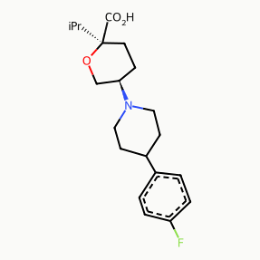 CC(C)[C@]1(C(=O)O)CC[C@@H](N2CCC(c3ccc(F)cc3)CC2)CO1